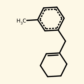 Cc1cccc(CC2=CCCCC2)c1